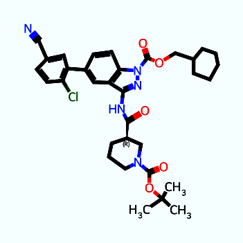 CC(C)(C)OC(=O)N1CCC[C@@H](C(=O)Nc2nn(C(=O)OCC3CCCCC3)c3ccc(-c4cc(C#N)ccc4Cl)cc23)C1